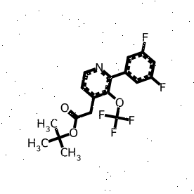 CC(C)(C)OC(=O)Cc1ccnc(-c2cc(F)cc(F)c2)c1OC(F)(F)F